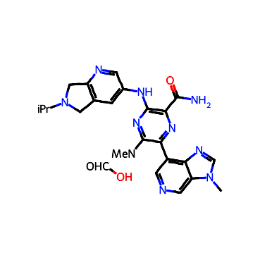 CNc1nc(Nc2cnc3c(c2)CN(C(C)C)C3)c(C(N)=O)nc1-c1cncc2c1ncn2C.O=CO